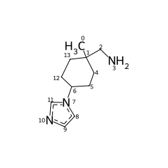 CC1(CN)CCC(n2ccnc2)CC1